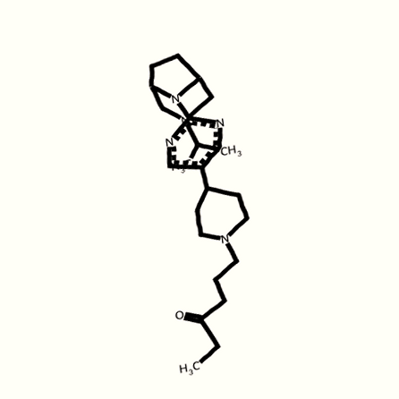 CCC(=O)CCCN1CCC(c2cnc(N3C4CCC3CN(C(C)C)C4)nc2)CC1